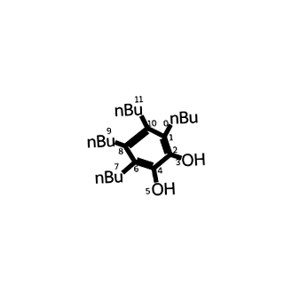 CCCCc1c(O)c(O)c(CCCC)c(CCCC)c1CCCC